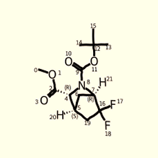 COC(=O)[C@H]1[C@H]2C[C@@H](N1C(=O)OC(C)(C)C)C(F)(F)C2